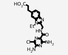 CCn1c(CNC(=O)c2nc(Cl)c(N)nc2N)nc2ccc(CCC(=O)O)cc21